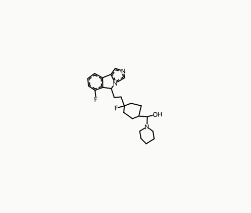 OC(C1CCC(F)(CCC2c3c(F)cccc3-c3cncn32)CC1)N1CCCCC1